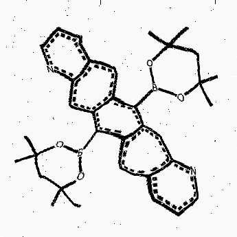 CC1(C)CC(C)(C)OB(c2c3cc4cccnc4cc3c(B3OC(C)(C)CC(C)(C)O3)c3cc4cccnc4cc23)O1